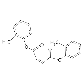 Cc1ccccc1OC(=O)/C=C\C(=O)Oc1ccccc1C